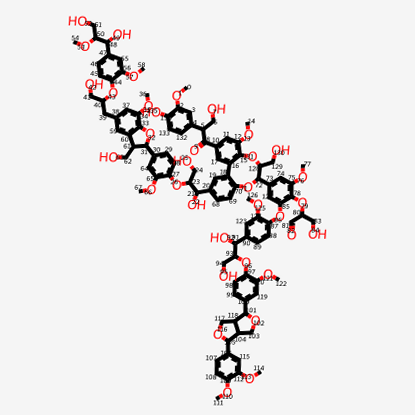 COc1cc(C(CO)C(=O)c2cc(OC)c3c(c2)-c2cc(C(O)C(CO)Oc4ccc(C5Oc6c(OC)cc(CC(CO)Oc7ccc(C(O)C(CO)OC)cc7OC)cc6C5CO)cc4OC)ccc2OC(c2cc(OC)c(OC(C=O)CO)c(Oc4ccc(C(O)C(CO)Oc5ccc(C6OCC7C(c8ccc(OC)c(OC)c8)OCC67)cc5OC)cc4OC)c2)C(CO)O3)ccc1O